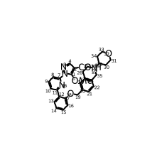 COc1c(C(=O)O)cnn1-c1cccc(-c2ccccc2OCc2ccc3c(c2)CCN(C2CCOCC2)C3)n1